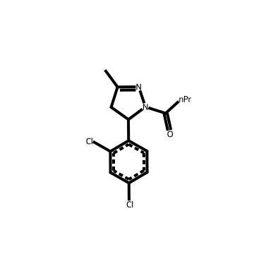 CCCC(=O)N1N=C(C)CC1c1ccc(Cl)cc1Cl